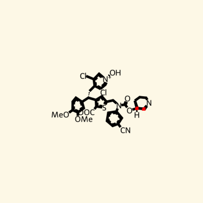 COc1ccc([C@H](Cc2c(Cl)c[n+](O)cc2Cl)c2cc(CN(C(=O)O[C@H]3CN4CCC3CC4)c3cccc(C#N)c3)sc2C(=O)[O-])cc1OC